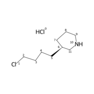 Cl.ClCCCC[C@H]1CCCNC1